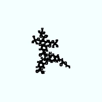 CCOC(=O)Cc1nc2c(s1)CNC(C(=O)[C@H](Cc1ccc([N+](=O)[O-])cc1)NC(=O)c1ccc(C(=NC(=O)OC(C)(C)C)N(C(=O)OC(C)(C)C)C(=O)OC(C)(C)C)cc1)C2